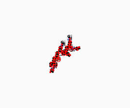 C=c1ccc(/C=C/[Si](C)(C)O[Si](C)(C)C2Cc3cc(C4Cc5ccc(C6Cc7ccc(/C=C/[Si](C)(C)C)cc7CC6C[Si](C)(C)O[Si](C)(C)C6Cc7ccc(C8Cc9cc(/C=C/[Si](C)(C)C)ccc9CC8[Si](C)(C)O[Si](C)(C)/C=C/c8ccc9c(c8)CC9)cc7CC6c6ccc7c(c6)CC7)cc5CC4[Si](C)(C)OC)ccc3CC2c2ccc3c(c2)CC3)cc1=C